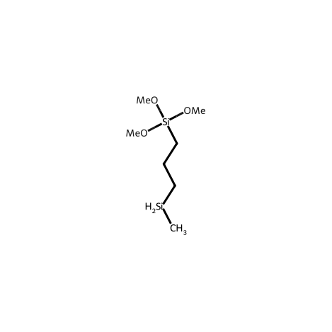 CO[Si](CCC[SiH2]C)(OC)OC